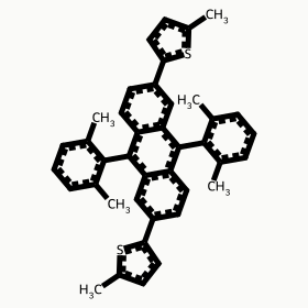 Cc1ccc(-c2ccc3c(-c4c(C)cccc4C)c4cc(-c5ccc(C)s5)ccc4c(-c4c(C)cccc4C)c3c2)s1